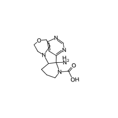 NC1(c2ccncn2)C(N2CCOCC2)CCCN1C(=O)O